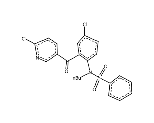 CCCCN(c1ccc(Cl)cc1C(=O)c1ccc(Cl)nc1)S(=O)(=O)c1ccccc1